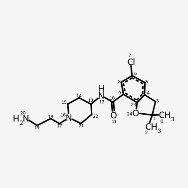 CC1(C)Cc2cc(Cl)cc(C(=O)NC3CCN(CCCN)CC3)c2O1